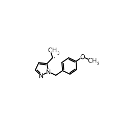 C[CH]c1ccnn1Cc1ccc(OC)cc1